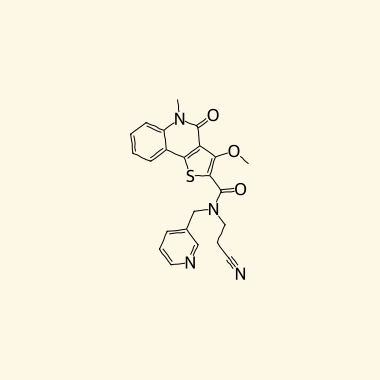 COc1c(C(=O)N(CCC#N)Cc2cccnc2)sc2c1c(=O)n(C)c1ccccc21